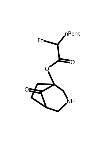 CCCCCC(CC)C(=O)OC12CCC(CNC1)C2=O